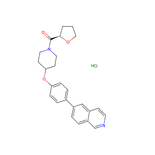 Cl.O=C([C@H]1CCCO1)N1CCC(Oc2ccc(-c3ccc4cnccc4c3)cc2)CC1